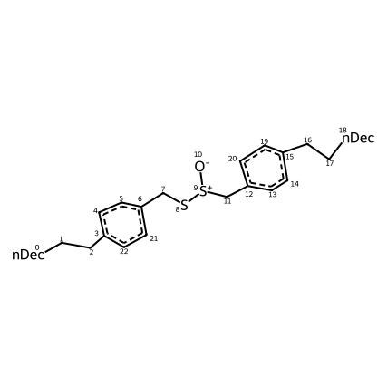 CCCCCCCCCCCCc1ccc(CS[S+]([O-])Cc2ccc(CCCCCCCCCCCC)cc2)cc1